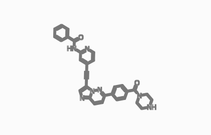 O=C(Nc1cc(C#Cc2cnc3ccc(-c4ccc(C(=O)N5CCNCC5)cc4)nn23)ccn1)c1ccccc1